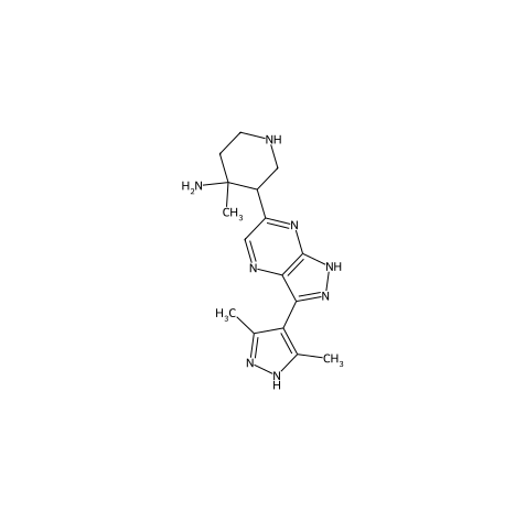 Cc1n[nH]c(C)c1-c1n[nH]c2nc(C3CNCCC3(C)N)cnc12